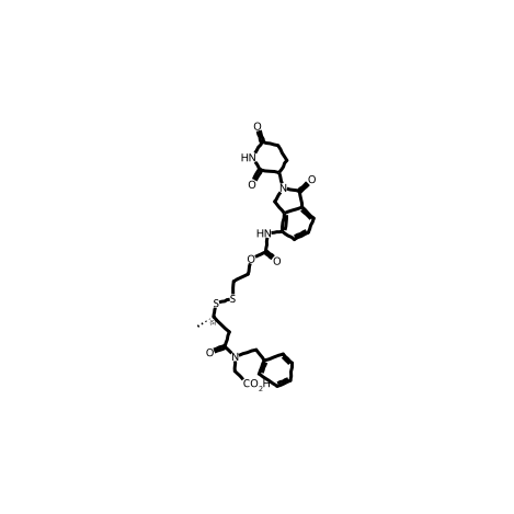 C[C@@H](CC(=O)N(CC(=O)O)Cc1ccccc1)SSCCOC(=O)Nc1cccc2c1CN(C1CCC(=O)NC1=O)C2=O